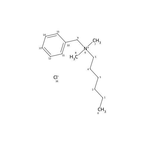 CCCCCC[N+](C)(C)Cc1ccccc1.[Cl-]